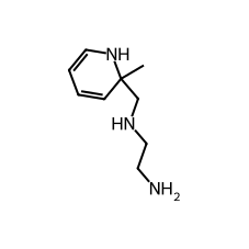 CC1(CNCCN)C=CC=CN1